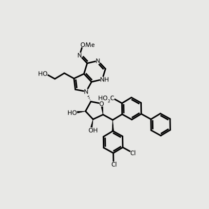 CO/N=c1\nc[nH]c2c1c(CCO)cn2[C@@H]1O[C@@H]([C@H](c2ccc(Cl)c(Cl)c2)c2cc(-c3ccccc3)ccc2C(=O)O)[C@@H](O)[C@H]1O